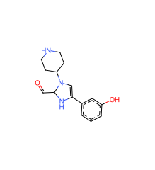 O=CC1NC(c2cccc(O)c2)=CN1C1CCNCC1